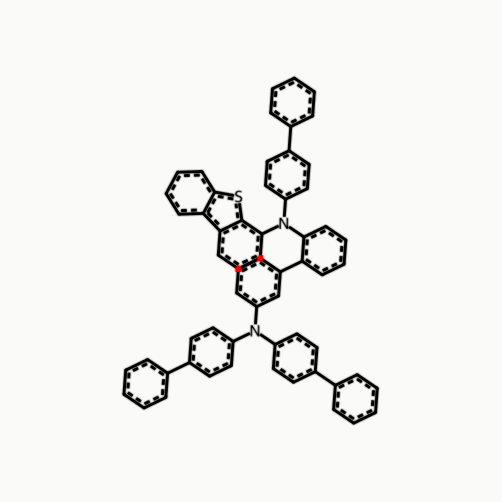 c1ccc(-c2ccc(N(c3ccc(-c4ccccc4)cc3)c3cccc(-c4ccccc4N(c4ccc(-c5ccccc5)cc4)c4cccc5c4sc4ccccc45)c3)cc2)cc1